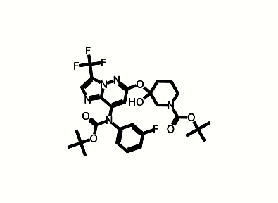 CC(C)(C)OC(=O)N1CCCC(O)(Oc2cc(N(C(=O)OC(C)(C)C)c3cccc(F)c3)c3ncc(C(F)(F)F)n3n2)C1